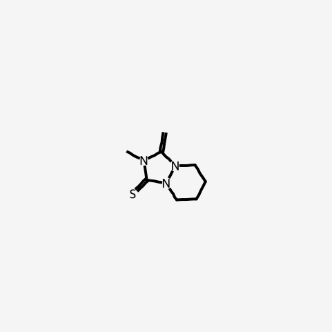 C=C1N(C)C(=S)N2CCCCN12